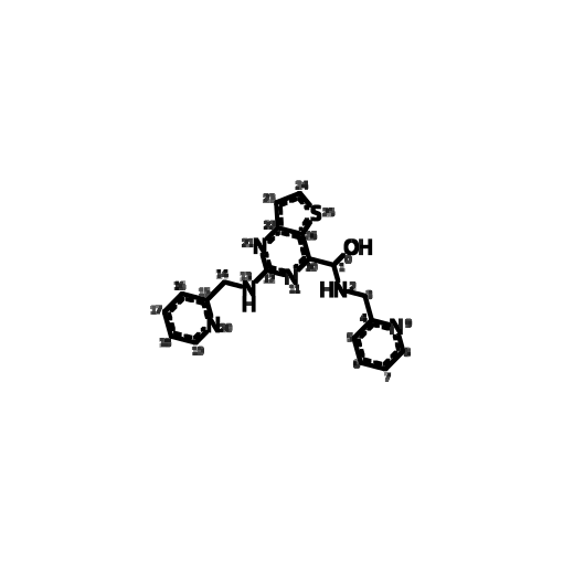 OC(NCc1ccccn1)c1nc(NCc2ccccn2)nc2ccsc12